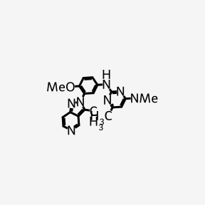 CNc1cc(C)nc(Nc2ccc(OC)c(-n3nc4ccncc4c3C)c2)n1